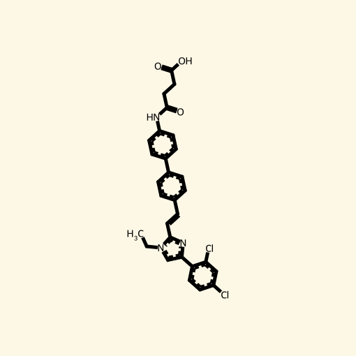 CCn1cc(-c2ccc(Cl)cc2Cl)nc1C=Cc1ccc(-c2ccc(NC(=O)CCC(=O)O)cc2)cc1